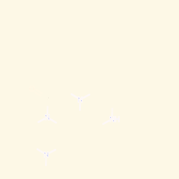 CN1CCN(C(=O)C(CCCc2ccc(F)cc2)N2CCNCC2)CC1